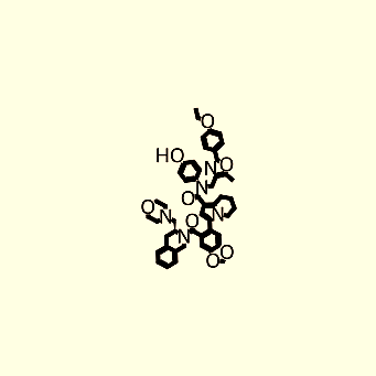 CCOc1ccc(-c2nc(CN(C(=O)c3cc(-c4cc5c(cc4C(=O)N4Cc6ccccc6C[C@H]4CN4CCOCC4)OCO5)n4c3CCCC4)c3ccc(O)cc3)c(C)o2)cc1